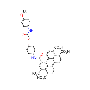 CCOc1ccc(NC(=O)COc2ccc(NC(=O)c3cc(C(=O)O)c4c(C(=O)O)ccc5c6ccc(C(=O)O)c7c(C(=O)O)ccc(c3c45)c76)cc2)cc1